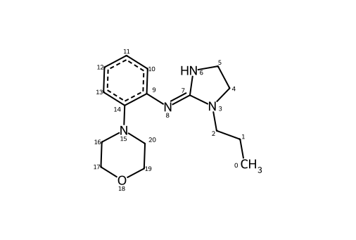 CCCN1CCN/C1=N\c1ccccc1N1CCOCC1